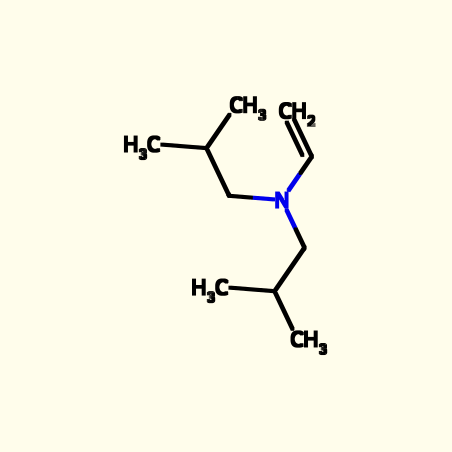 C=CN(CC(C)C)CC(C)C